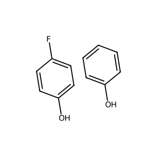 Oc1ccc(F)cc1.Oc1ccccc1